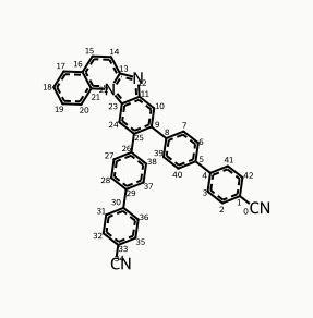 N#Cc1ccc(-c2ccc(-c3cc4nc5ccc6ccccc6n5c4cc3-c3ccc(-c4ccc(C#N)cc4)cc3)cc2)cc1